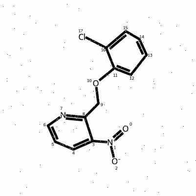 O=[N+]([O-])c1cccnc1COc1ccccc1Cl